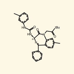 Cc1cccc(NC(=O)N[C@@H]2N=C(c3ccccc3)c3ccc(C)cc3N(CC(=O)C(C)(C)C)C2=O)c1